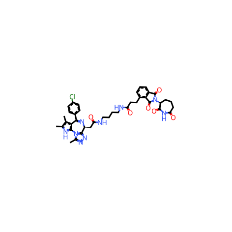 Cc1[nH]c2c(c1C)C(c1ccc(Cl)cc1)=N[C@@H](CC(=O)NCCCCNC(=O)CCc1cccc3c1C(=O)N([C@H]1CCCC(=O)NC1=O)C3=O)c1nnc(C)n1-2